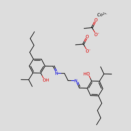 CC(=O)[O-].CC(=O)[O-].CCCCc1cc(C=NCCN=Cc2cc(CCCC)cc(C(C)C)c2O)c(O)c(C(C)C)c1.[Co+2]